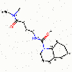 CCCCN(C)C(=O)CCCNC(=O)N1CCCC2CCCCC21